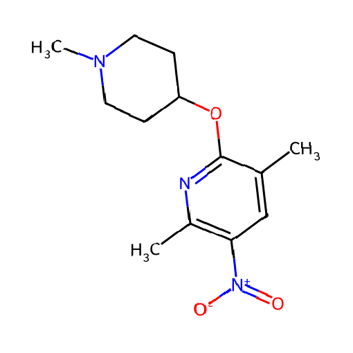 Cc1cc([N+](=O)[O-])c(C)nc1OC1CCN(C)CC1